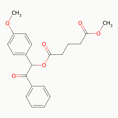 COC(=O)CCCC(=O)OC(C(=O)c1ccccc1)c1ccc(OC)cc1